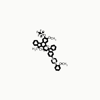 COc1cc2c3c(c4c(c2cc1OS(=O)(=O)C(F)(F)F)-c1ccccc1C4(C)C)C=CC(c1ccccc1)(c1ccc(N2CCN(c4ccccc4OC)CC2)cc1)O3